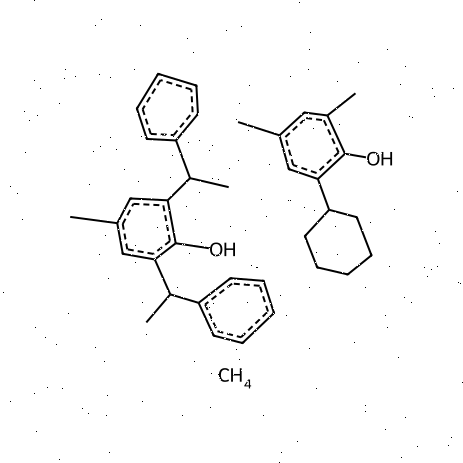 C.Cc1cc(C(C)c2ccccc2)c(O)c(C(C)c2ccccc2)c1.Cc1cc(C)c(O)c(C2CCCCC2)c1